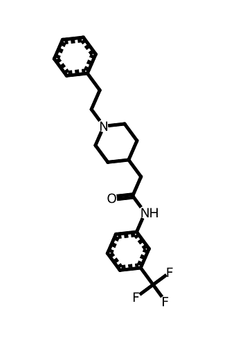 O=C(CC1CCN(CCc2ccccc2)CC1)Nc1cccc(C(F)(F)F)c1